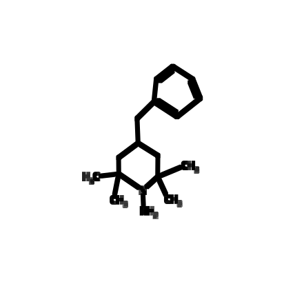 CC1(C)CC(Cc2ccccc2)CC(C)(C)N1N